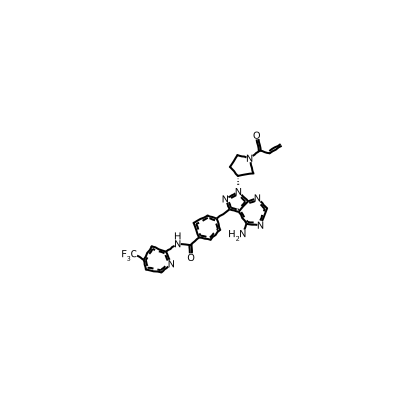 C=CC(=O)N1CC[C@@H](n2nc(-c3ccc(C(=O)Nc4cc(C(F)(F)F)ccn4)cc3)c3c(N)ncnc32)C1